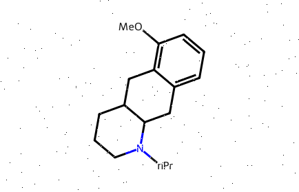 CCCN1CCCC2Cc3c(cccc3OC)CC21